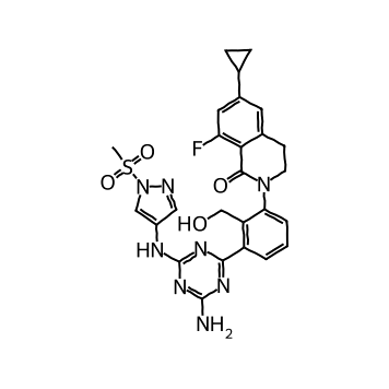 CS(=O)(=O)n1cc(Nc2nc(N)nc(-c3cccc(N4CCc5cc(C6CC6)cc(F)c5C4=O)c3CO)n2)cn1